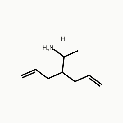 C=CCC(CC=C)C(C)N.I